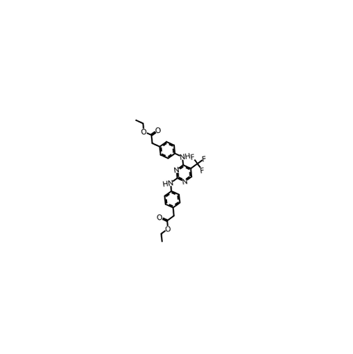 CCOC(=O)Cc1ccc(Nc2ncc(C(F)(F)F)c(Nc3ccc(CC(=O)OCC)cc3)n2)cc1